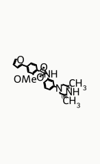 COc1cc(-c2ccco2)ccc1S(=O)(=O)Nc1cccc(N2C[C@@H](C)N[C@@H](C)C2)c1